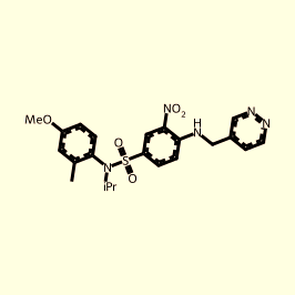 COc1ccc(N(C(C)C)S(=O)(=O)c2ccc(NCc3ccnnc3)c([N+](=O)[O-])c2)c(C)c1